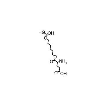 NC(CCC(=O)O)C(=O)OCCCCCCON(O)O